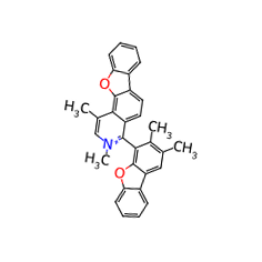 Cc1cc2c(oc3ccccc32)c(-c2c3ccc4c5ccccc5oc4c3c(C)c[n+]2C)c1C